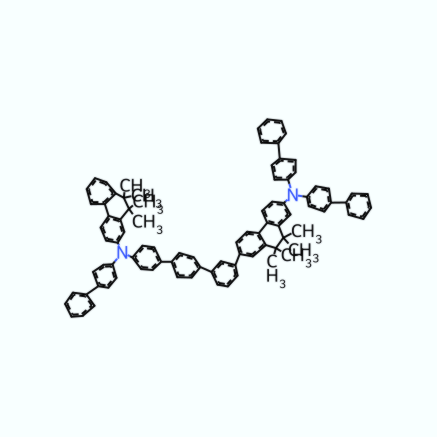 CC1(C)c2ccccc2-c2ccc(N(c3ccc(-c4ccccc4)cc3)c3ccc(-c4ccc(-c5cccc(-c6ccc7c(c6)C(C)(C)C(C)(C)c6cc(N(c8ccc(-c9ccccc9)cc8)c8ccc(-c9ccccc9)cc8)ccc6-7)c5)cc4)cc3)cc2C1(C)C